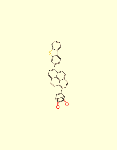 O=C1C(=O)C2C=CC1C=C2c1ccc2ccc3c(-c4ccc5c(c4)sc4ccccc45)ccc4ccc1c2c43